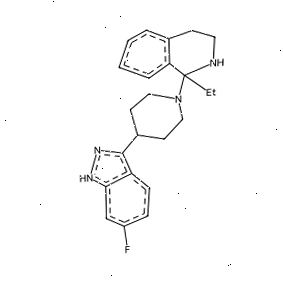 CCC1(N2CCC(c3n[nH]c4cc(F)ccc34)CC2)NCCc2ccccc21